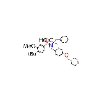 COc1cc(C(=O)N2Cc3ccc(OCc4ccccc4)cc3CC2(Cc2ccccc2)C(=O)O)ccc1C(C)(C)C